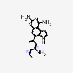 C=C(/C=C(N)\C=C/C)c1cc2nc(N)nc(N)c2c2cc[nH]c12